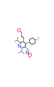 CON=Cc1c(C(C)C)nc(C(C)C)c(C=CC=O)c1-c1ccc(F)cc1